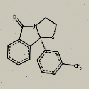 O=C1c2ccccc2[C@]2(c3cccc(C(F)(F)F)c3)SCCN12